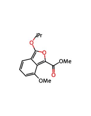 COC(=O)c1oc(OC(C)C)c2cccc(OC)c12